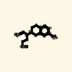 C=CC(CCC=O)N1CCc2ccc(N)cc2C1